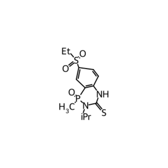 CCS(=O)(=O)c1ccc2c(c1)P(C)(=O)N(C(C)C)C(=S)N2